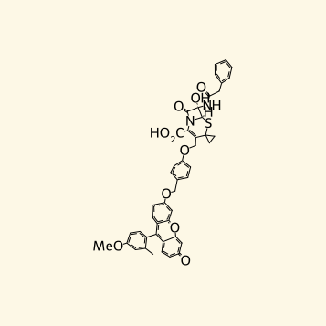 COc1ccc(-c2c3ccc(=O)cc-3oc3cc(OCc4ccc(OCC5=C(C(=O)O)N6C(=O)[C@@](O)(NC(=O)Cc7ccccc7)[C@H]6SC56CC6)cc4)ccc23)c(C)c1